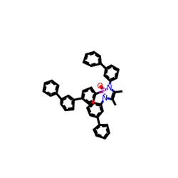 CC1=C(C)N(c2cccc(-c3ccccc3)c2)P(=O)(c2ccc(-c3cccc(-c4ccccc4)c3)cc2)N1c1cccc(-c2ccccc2)c1